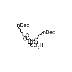 CCCCCCCCCCCCCCCC(=O)OC1CC(C(=O)O)N(C(=O)CCCCCCCCCCCCCCC)C1